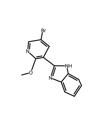 COc1ncc(Br)cc1-c1nc2ccccc2[nH]1